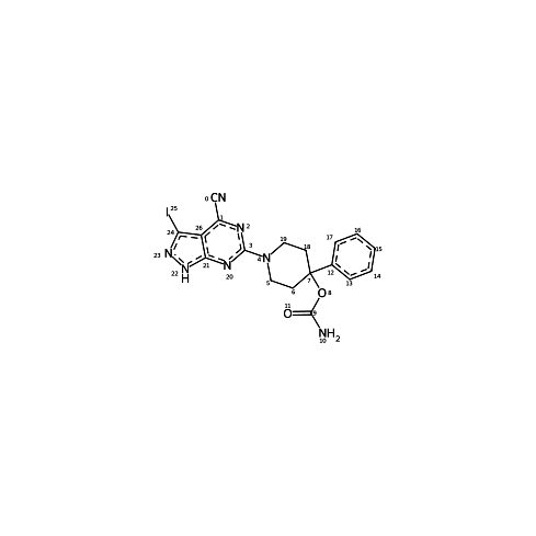 N#Cc1nc(N2CCC(OC(N)=O)(c3ccccc3)CC2)nc2[nH]nc(I)c12